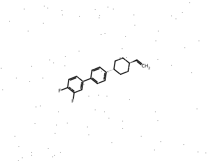 C=C[C@H]1CC[C@H](c2ccc(-c3ccc(F)c(F)c3)cc2)CC1